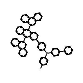 Fc1ccc(N(c2ccc(-c3ccccc3)cc2)c2ccc(-c3ccc4c(-c5cc6ccccc6c6ccccc56)c5ccccc5c(-c5cc6ccccc6c6ccccc56)c4c3)cc2)cc1